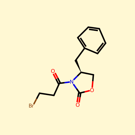 O=C(CCBr)N1C(=O)OC[C@@H]1Cc1ccccc1